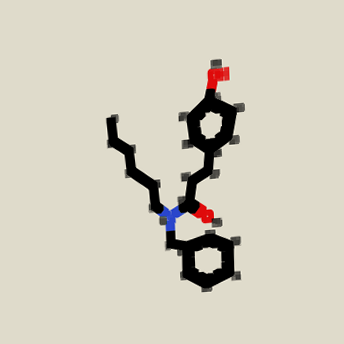 CCCCCCN(Cc1ccccc1)C(=O)CCc1ccc(O)cc1